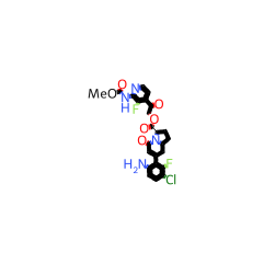 COC(=O)Nc1nccc(C(=O)COC(=O)[C@@H]2CCC3CC(c4c(N)ccc(Cl)c4F)=CC(=O)N32)c1F